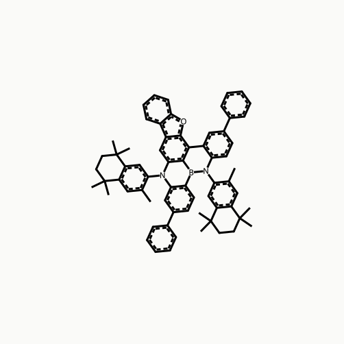 Cc1cc2c(cc1N1B3c4ccc(-c5ccccc5)cc4N(c4cc5c(cc4C)C(C)(C)CCC5(C)C)c4cc5c(oc6ccccc65)c(c43)-c3cc(-c4ccccc4)ccc31)C(C)(C)CCC2(C)C